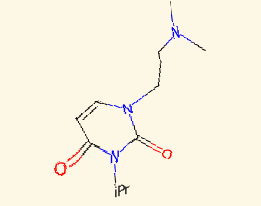 CC(C)n1c(=O)ccn(CCN(C)C)c1=O